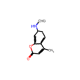 Cc1cc(=O)oc2c1=CCC(NC=O)C=2